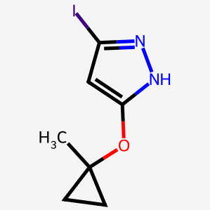 CC1(Oc2cc(I)n[nH]2)CC1